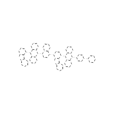 c1ccc(-c2ccc(-c3c4ccccc4c(-c4ccc(-c5ccc(-c6c7ccccc7c(-c7cccc8oc9ccccc9c78)c7ccccc67)c6ccccc56)c5oc6ccccc6c45)c4ccccc34)cc2)cc1